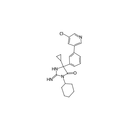 N=C1NC(c2cccc(-c3cncc(Cl)c3)c2)(C2CC2)C(=O)N1C1CCCCC1